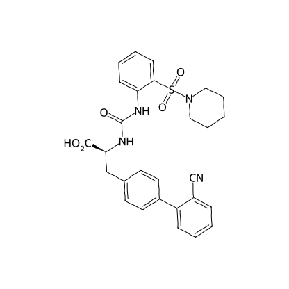 N#Cc1ccccc1-c1ccc(C[C@H](NC(=O)Nc2ccccc2S(=O)(=O)N2CCCCC2)C(=O)O)cc1